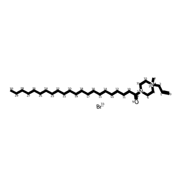 C=CC[N+]1(C)CCN(C(=O)CCCCCCCCCCCCCCCCCCCCC)CC1.[Br-]